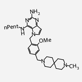 CCCCCNc1nc(N)nc2ccn(Cc3ccc(CN4CCC5(CCN(C)CC5)CC4)cc3OC)c12